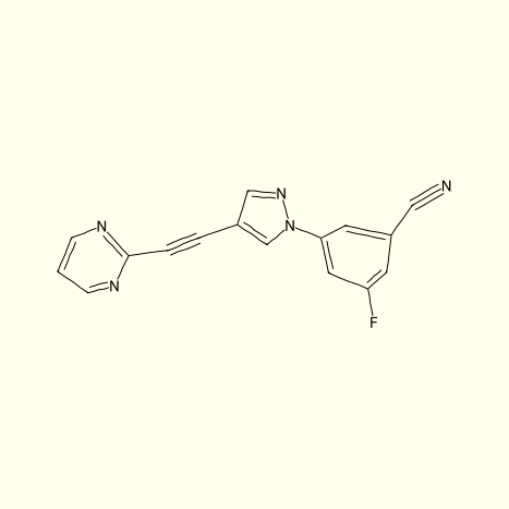 N#Cc1cc(F)cc(-n2cc(C#Cc3ncccn3)cn2)c1